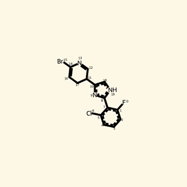 Fc1cccc(Cl)c1-c1nc(C2C=NC(Br)=CC2)c[nH]1